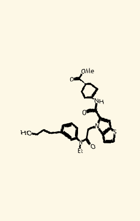 CCN(C(=O)Cn1c(C(=O)N[C@H]2CC[C@H](C(=O)OC)CC2)cc2sccc21)c1cccc(CCCO)c1